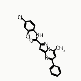 Cc1cc(-c2ccccc2)nc2cc(C(=O)Nc3ccc(Cl)cc3Cl)nn12